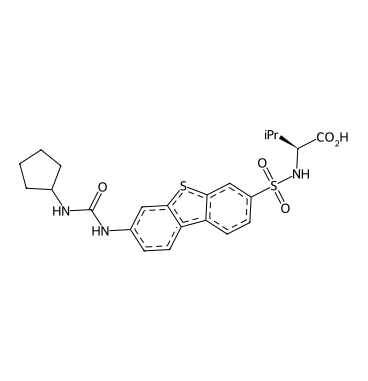 CC(C)[C@H](NS(=O)(=O)c1ccc2c(c1)sc1cc(NC(=O)NC3CCCC3)ccc12)C(=O)O